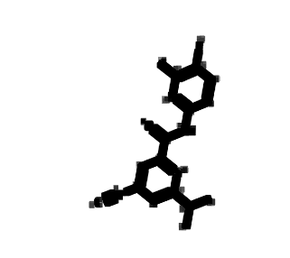 [C-]#[N+]c1cc(C(=O)Nc2ccc(F)c(C)n2)nc(C(C)C)c1